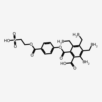 BCc1c(B)c(C(=O)O)c(C(=O)Oc2ccc(C(=O)OCCS(=O)(=O)O)cc2)c(CB)c1CB